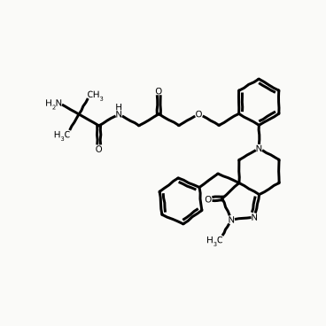 CN1N=C2CCN(c3ccccc3COCC(=O)CNC(=O)C(C)(C)N)CC2(Cc2ccccc2)C1=O